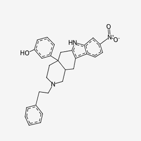 O=[N+]([O-])c1ccc2c3c([nH]c2c1)CC1(c2cccc(O)c2)CCN(CCc2ccccc2)CC1C3